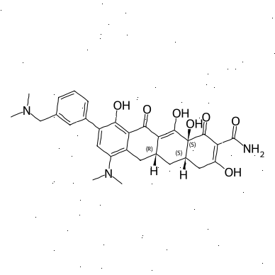 CN(C)Cc1cccc(-c2cc(N(C)C)c3c(c2O)C(=O)C2=C(O)[C@]4(O)C(=O)C(C(N)=O)=C(O)C[C@@H]4C[C@@H]2C3)c1